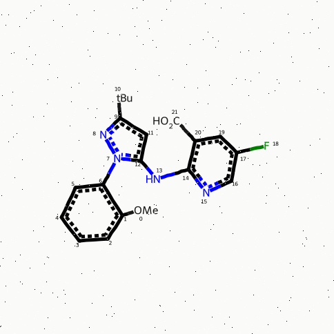 COc1ccccc1-n1nc(C(C)(C)C)cc1Nc1ncc(F)cc1C(=O)O